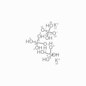 O[Si](O)(O)O.O[Si](O)(O)O.[K+].[K+].[O-][Si]([O-])(O)O